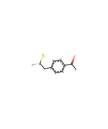 CC(=O)c1ccc(C[C@H](C)S)cc1